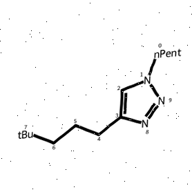 CCCCCn1cc(CCCC(C)(C)C)nn1